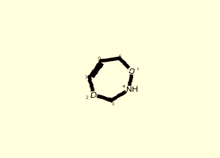 [C]1=COCNOC1